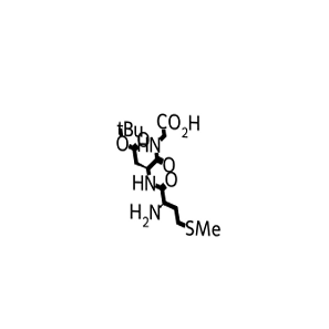 CSCC[C@H](N)C(=O)N[C@@H](CC(=O)OC(C)(C)C)C(=O)NCC(=O)O